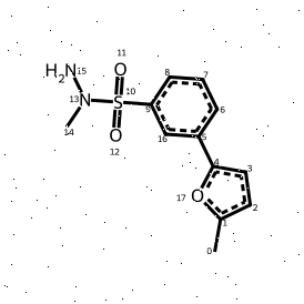 Cc1ccc(-c2cccc(S(=O)(=O)N(C)N)c2)o1